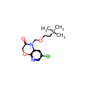 C[Si](C)(C)CCOCN1C(=O)COc2ncc(Br)cc21